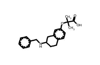 CC(C)(Oc1ccc2c(c1)CC(NCc1ccccc1)CC2)C(=O)O